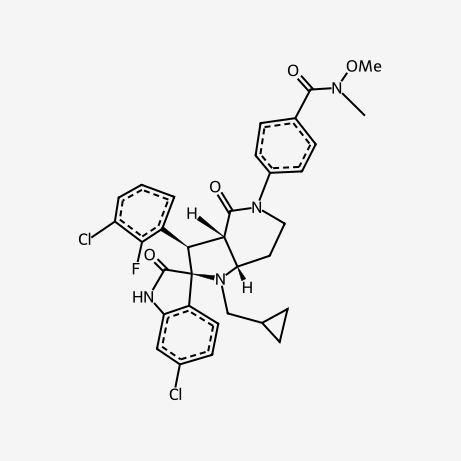 CON(C)C(=O)c1ccc(N2CC[C@H]3[C@@H](C2=O)[C@H](c2cccc(Cl)c2F)[C@]2(C(=O)Nc4cc(Cl)ccc42)N3CC2CC2)cc1